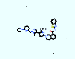 Cc1c(-c2ccc(N3CCc4cccc(C(=O)Nc5nc6ccccc6s5)c4C3)nc2C(=O)O)cnn1Cc1cccc(N2CCCC2)n1